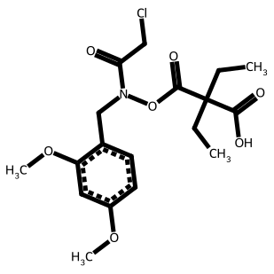 CCC(CC)(C(=O)O)C(=O)ON(Cc1ccc(OC)cc1OC)C(=O)CCl